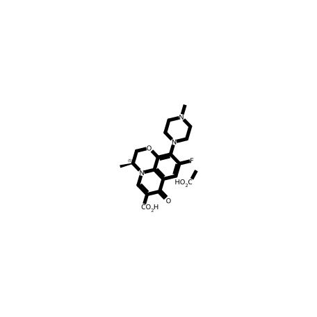 CC(=O)O.C[C@H]1COc2c(N3CCN(C)CC3)c(F)cc3c(=O)c(C(=O)O)cn1c23